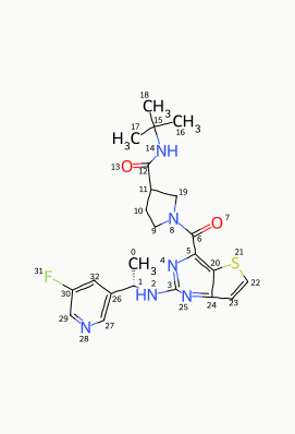 C[C@H](Nc1nc(C(=O)N2CCC(C(=O)NC(C)(C)C)C2)c2sccc2n1)c1cncc(F)c1